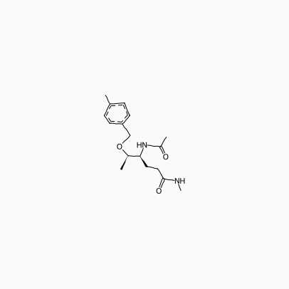 CNC(=O)CC[C@H](NC(C)=O)[C@@H](C)OCc1ccc(C)cc1